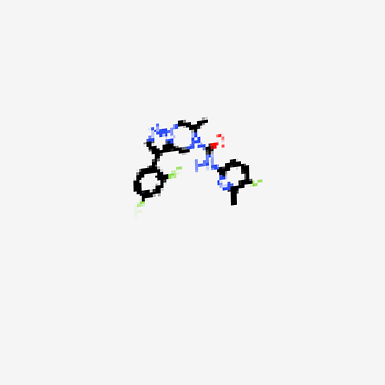 Cc1nc(NC(=O)N2Cc3c(-c4ccc(F)cc4F)cnn3CC2C)ccc1F